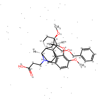 COc1ccc2c3c1O[C@H]1[C@@]4(OC)CC[C@@]5(C[C@@H]4COCc4ccccc4)[C@@H](C2)N(CCC(=O)O)CC[C@]315